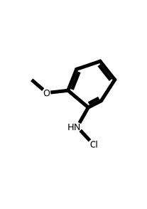 COc1ccccc1NCl